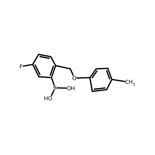 Cc1ccc(OCc2ccc(F)cc2B(O)O)cc1